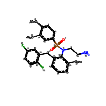 COc1ccc(S(=O)(=O)N(CCN)c2c(Cc3cc(F)ccc3F)cccc2OC)cc1OC